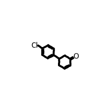 O=C1C=CCC(c2ccc(Cl)cc2)C1